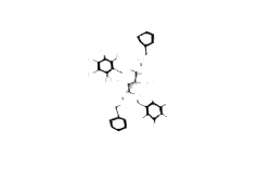 O[C@@H]([C@H](O)[C@@H](COCc1ccccc1)OCc1c(F)c(F)c(F)c(F)c1F)[C@@H](COCc1ccccc1)OCc1c(F)c(F)c(F)c(F)c1F